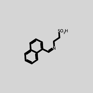 O=S(=O)(O)CC/N=C\c1cccc2ccccc12